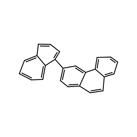 c1ccc2c(-c3ccc4ccc5ccccc5c4c3)cccc2c1